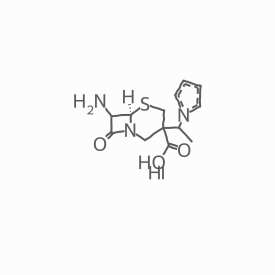 CC(n1cccc1)C1(C(=O)O)CS[C@@H]2C(N)C(=O)N2C1.I